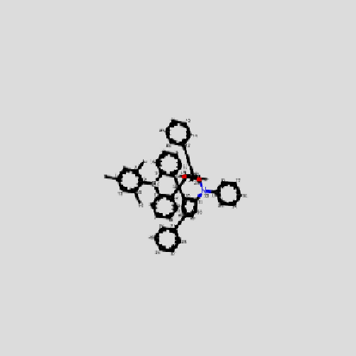 Cc1cc(C)c(B2c3ccccc3C3(c4ccccc42)c2cc(-c4ccccc4)ccc2N(c2ccccc2)c2ccc(-c4ccccc4)cc23)c(C)c1